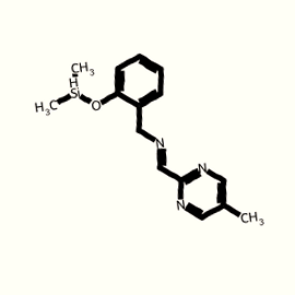 Cc1cnc(C=NCc2ccccc2O[SiH](C)C)nc1